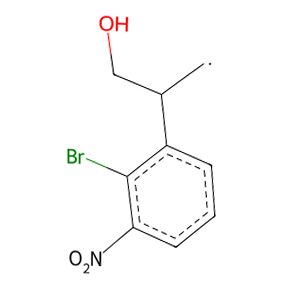 [CH2]C(CO)c1cccc([N+](=O)[O-])c1Br